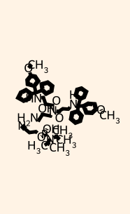 CC(C)N(C(C)C)P(O)OCCC#N.COc1ccc(C(NCCC(=O)N(CC(O)CN)C(=O)CCNC(c2ccccc2)(c2ccccc2)c2ccc(OC)cc2)(c2ccccc2)c2ccccc2)cc1